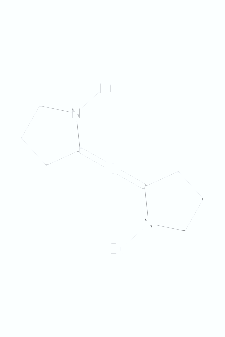 CCN1CCCC1=C=C1CCCN1CC